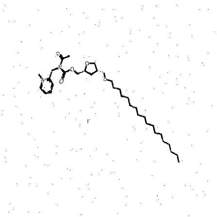 CCCCCCCCCCCCCCCCCCOC[C@H]1CO[C@H](COC(=O)N(Cc2cccc[n+]2C)C(C)=O)C1.[I-]